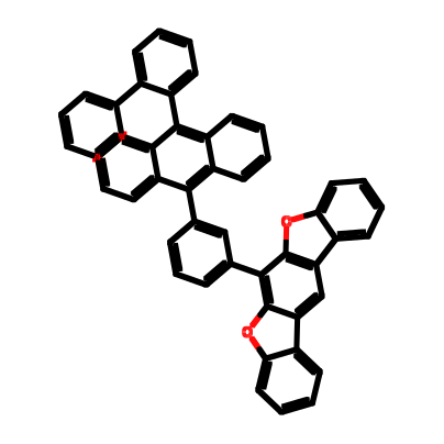 c1ccc(-c2ccccc2-c2c3ccccc3c(-c3cccc(-c4c5oc6ccccc6c5cc5c4oc4ccccc45)c3)c3ccccc23)cc1